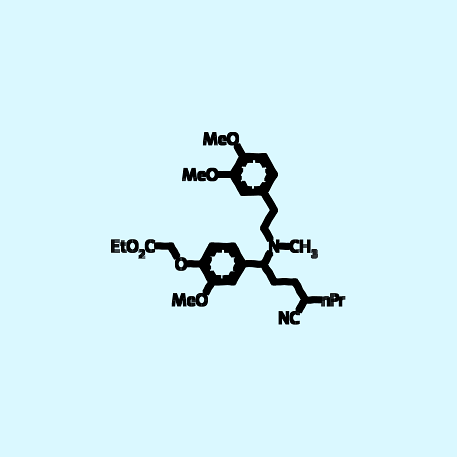 CCCC(C#N)CCC(c1ccc(OCC(=O)OCC)c(OC)c1)N(C)CCc1ccc(OC)c(OC)c1